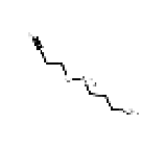 C#CCCO[SiH2]CCCC